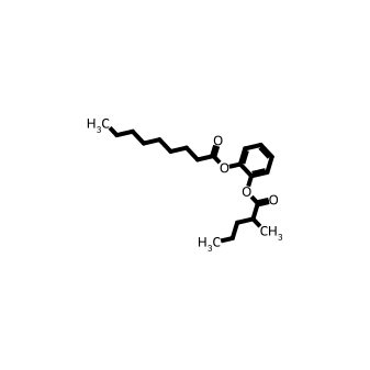 CCCCCCCCC(=O)Oc1ccccc1OC(=O)C(C)CCC